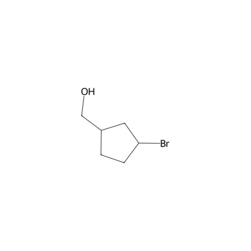 OCC1CCC(Br)C1